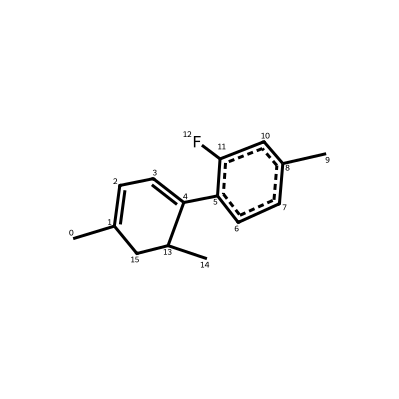 CC1=CC=C(c2ccc(C)cc2F)C(C)C1